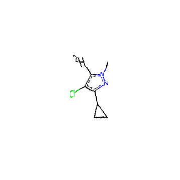 [2H]c1c(Cl)c(C2CC2)nn1C